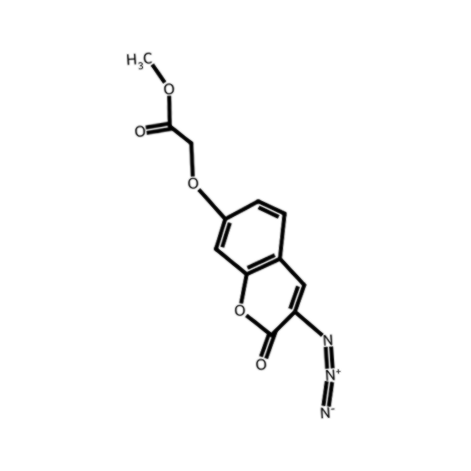 COC(=O)COc1ccc2cc(N=[N+]=[N-])c(=O)oc2c1